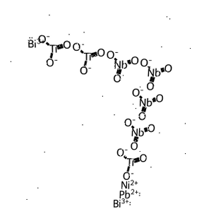 [Bi+3].[Bi+3].[Ni+2].[O]=[Nb](=[O])[O-].[O]=[Nb](=[O])[O-].[O]=[Nb](=[O])[O-].[O]=[Nb](=[O])[O-].[O]=[Ti]([O-])[O-].[O]=[Ti]([O-])[O-].[O]=[Ti]([O-])[O-].[Pb+2]